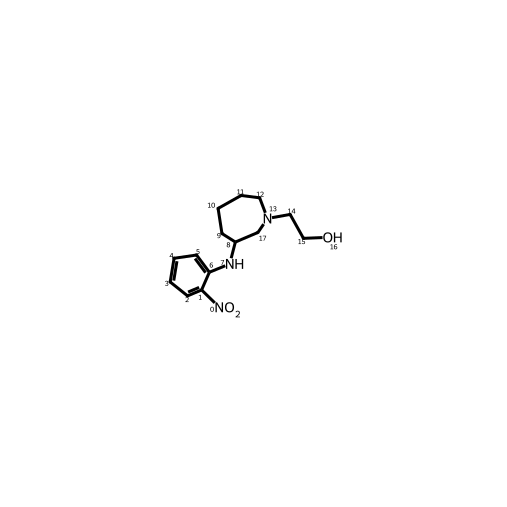 O=[N+]([O-])c1ccccc1NC1CCCCN(CCO)C1